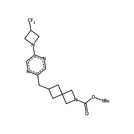 CC(C)(C)OC(=O)N1CC2(CC(Cc3cnc(N4CC(C(F)(F)F)C4)cn3)C2)C1